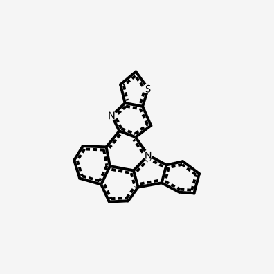 c1cc2ccc3c4ccccc4n4c5cc6sccc6nc5c(c1)c2c34